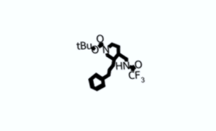 CC(C)(C)OC(=O)N1CCC(CNC(=O)C(F)(F)F)C(CCCc2ccccc2)C1